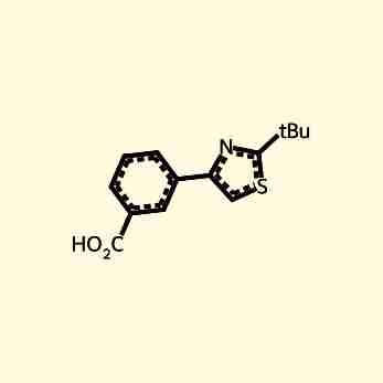 CC(C)(C)c1nc(-c2cccc(C(=O)O)c2)cs1